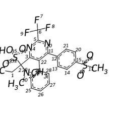 CCC(c1nc(C(F)(F)F)nc(-c2ccc(S(C)(=O)=O)cc2)c1-c1ccccc1)(N(C)C)S(=O)(=O)O